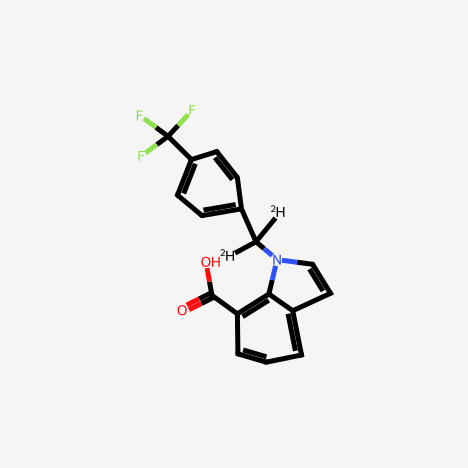 [2H]C([2H])(c1ccc(C(F)(F)F)cc1)n1ccc2cccc(C(=O)O)c21